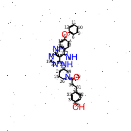 N=C(c1ccc(Oc2ccccc2)cc1)c1c(N)ncnc1N[C@@H]1CCCN(C(=O)CCc2ccc(O)cc2)C1